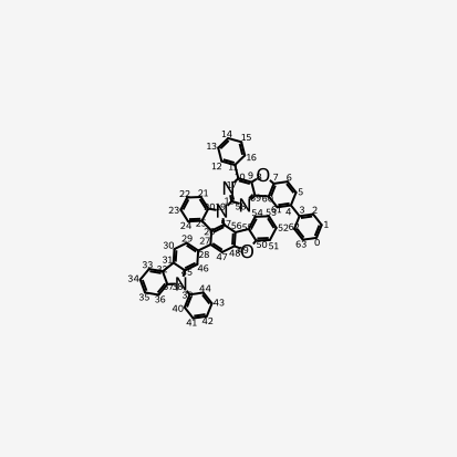 c1ccc(-c2ccc3oc4c(-c5ccccc5)nc(-n5c6ccccc6c6c(-c7ccc8c9ccccc9n(-c9ccccc9)c8c7)cc7oc8ccccc8c7c65)nc4c3c2)cc1